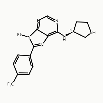 CCn1c(-c2ccc(C(F)(F)F)cc2)nc2c(N[C@H]3CCNC3)ncnc21